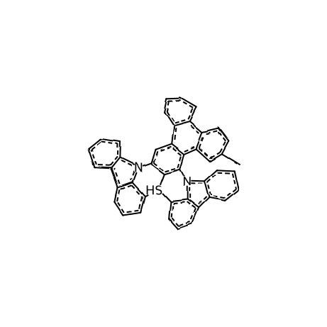 Cc1ccc2c3ccccc3c3cc4c5c(c3c2c1)-n1c2ccccc2c2cccc(c21)[SH]5c1cccc2c3ccccc3n-4c12